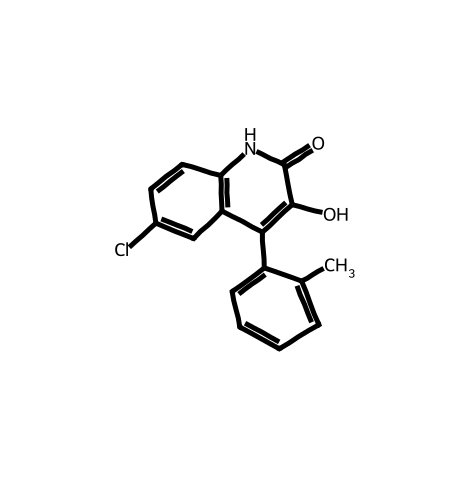 Cc1ccccc1-c1c(O)c(=O)[nH]c2ccc(Cl)cc12